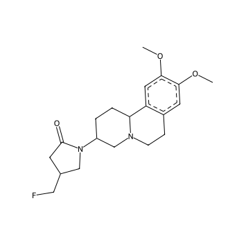 COc1cc2c(cc1OC)C1CCC(N3CC(CF)CC3=O)CN1CC2